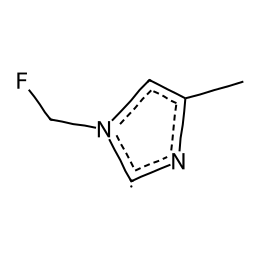 Cc1cn(CF)[c]n1